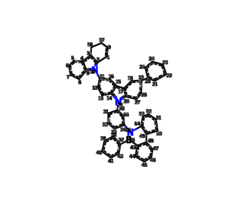 C1=Cc2c(c3ccccc3n2-c2ccc3c(c2)c2cc(-c4ccccc4)ccc2n3-c2cccc(N3B(c4ccccc4)c4ccccc4-c4ccccc43)c2)CC1